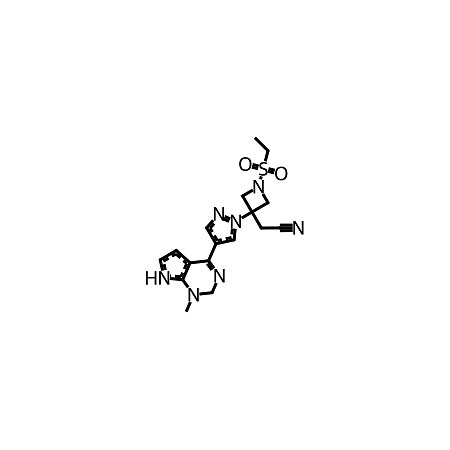 CCS(=O)(=O)N1CC(CC#N)(n2cc(C3=NCN(C)c4[nH]ccc43)cn2)C1